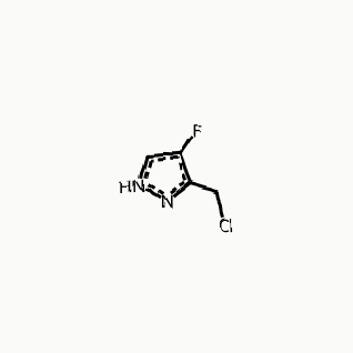 Fc1c[nH]nc1CCl